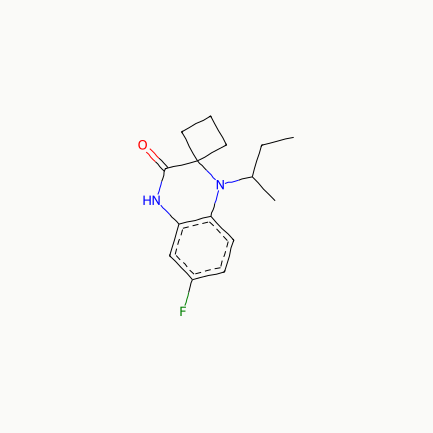 CCC(C)N1c2ccc(F)cc2NC(=O)C12CCC2